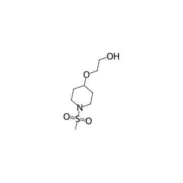 CS(=O)(=O)N1CCC(OCCO)CC1